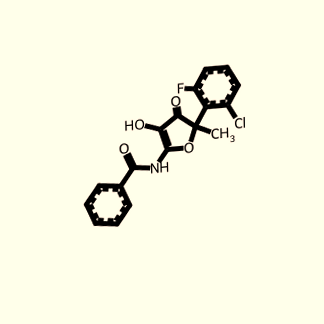 CC1(c2c(F)cccc2Cl)OC(NC(=O)c2ccccc2)=C(O)C1=O